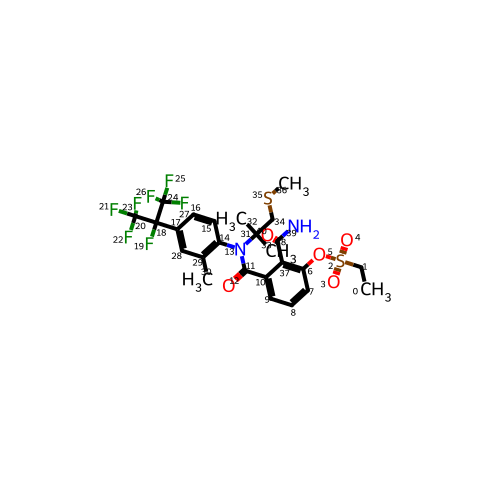 CCS(=O)(=O)Oc1cccc(C(=O)N(c2ccc(C(F)(C(F)(F)F)C(F)(F)F)cc2C)C(C)(C)CSC)c1C(N)=O